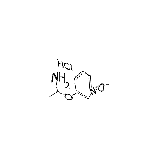 CC(N)Oc1ccc[n+]([O-])c1.Cl